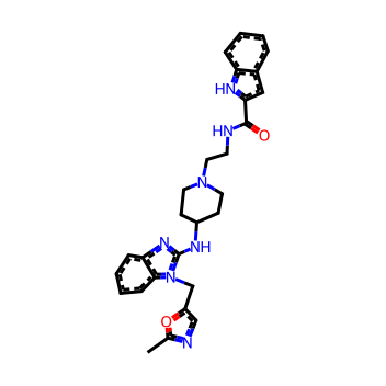 Cc1ncc(Cn2c(NC3CCN(CCNC(=O)c4cc5ccccc5[nH]4)CC3)nc3ccccc32)o1